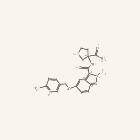 Cc1ccc(COc2ccc3nn(C)c(C(=O)NC4(C(N)=O)CCOC4)c3c2)cn1